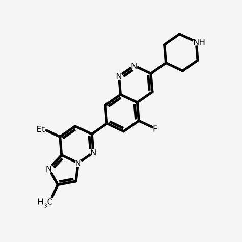 CCc1cc(-c2cc(F)c3cc(C4CCNCC4)nnc3c2)nn2cc(C)nc12